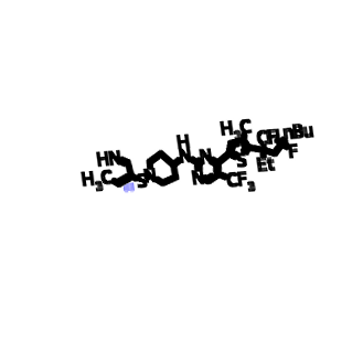 C/C=C(\C=N)SN1CCC(Nc2ncc(C(F)(F)F)c(-c3cc(C)c(C(C)(CC)CC(F)(F)CCCC)s3)n2)CC1